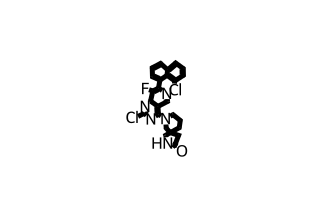 O=C1CC2(CCCN(c3nc(Cl)nc4c(F)c(-c5cccc6cccc(Cl)c56)ncc34)C2)CN1